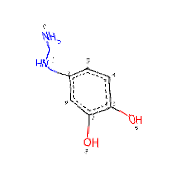 NNc1ccc(O)c(O)c1